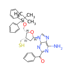 CC(C)(C)[Si](OC[C@@H]1O[C@@H](n2cnc3c(N)nc(C(=O)c4ccccc4)nc32)C[C@@H]1CS)(c1ccccc1)c1ccccc1